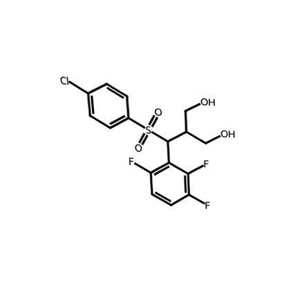 O=S(=O)(c1ccc(Cl)cc1)C(c1c(F)ccc(F)c1F)C(CO)CO